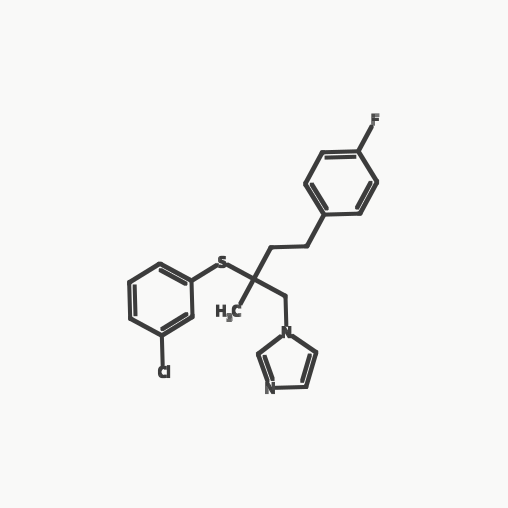 CC(CCc1ccc(F)cc1)(Cn1ccnc1)Sc1cccc(Cl)c1